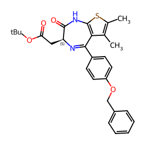 Cc1sc2c(c1C)C(c1ccc(OCc3ccccc3)cc1)=N[C@@H](CC(=O)OC(C)(C)C)C(=O)N2